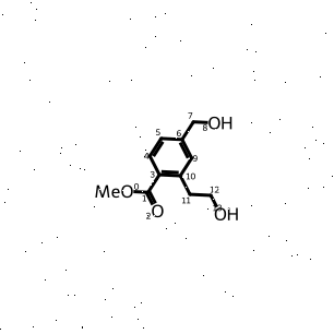 COC(=O)c1ccc(CO)cc1CCO